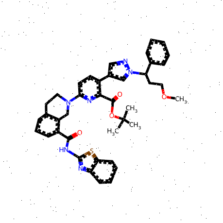 COCCC(c1ccccc1)n1cc(-c2ccc(N3CCc4cccc(C(=O)Nc5nc6ccccc6s5)c4C3)nc2C(=O)OC(C)(C)C)cn1